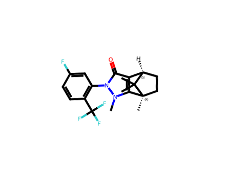 Cn1c2c(c(=O)n1-c1cc(F)ccc1C(F)(F)F)[C@H]1CC[C@]2(C)C1(C)C